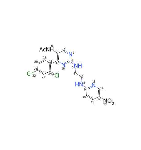 CC(=O)Nc1cnc(NCCNc2ccc([N+](=O)[O-])cn2)nc1-c1ccc(Cl)cc1Cl